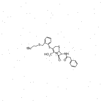 CC(C)(C)CCSCc1ccccc1SC1=C(C(=O)O)N2C(=O)C(NC(=O)Cc3ccccc3)C2SC1